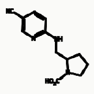 N#Cc1ccc(NCC2CCCN2C(=O)O)nc1